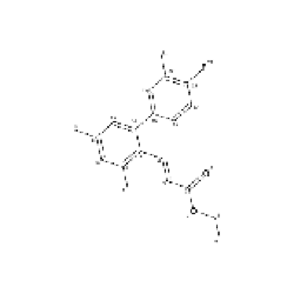 CCOC(=O)C=Cc1c(C)cc(C)cc1-c1ccc(F)c(C)c1